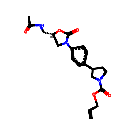 C=CCOC(=O)N1CCC(c2ccc(N3C[C@H](CNC(C)=O)OC3=O)cc2)C1